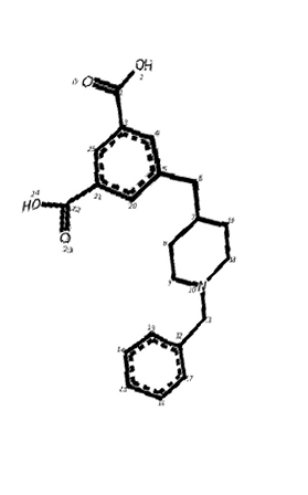 O=C(O)c1cc(CC2CCN(Cc3ccccc3)CC2)cc(C(=O)O)c1